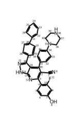 N#Cc1c(-c2ccc(O)cc2F)nc2[nH]nc(-c3ccc(-c4ccccc4)cc3)c2c1-c1ccc(N2CCNCC2)cc1